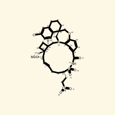 CO[C@H]1/C=C/CC[C@@H](CC[SH](=O)=O)S(=O)(=O)NC(=O)c2ccc3c(c2)N(C[C@@H]2CC[C@H]21)C[C@@]1(CCCc2cc(Cl)ccc21)CO3